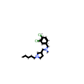 CCCCCN1CCC(CN(C)Cc2ccc(Cl)c(Cl)c2)C1